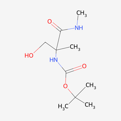 CNC(=O)C(C)(CO)NC(=O)OC(C)(C)C